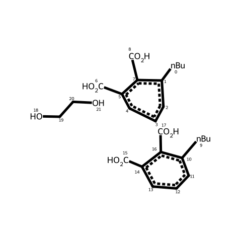 CCCCc1cccc(C(=O)O)c1C(=O)O.CCCCc1cccc(C(=O)O)c1C(=O)O.OCCO